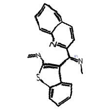 C=Nc1sc2ccccc2c1/C(=N\C)c1ccc2ccccc2n1